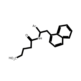 CC(=O)C(Cc1cccc2ccccc12)NC(=O)CCCC(=O)O